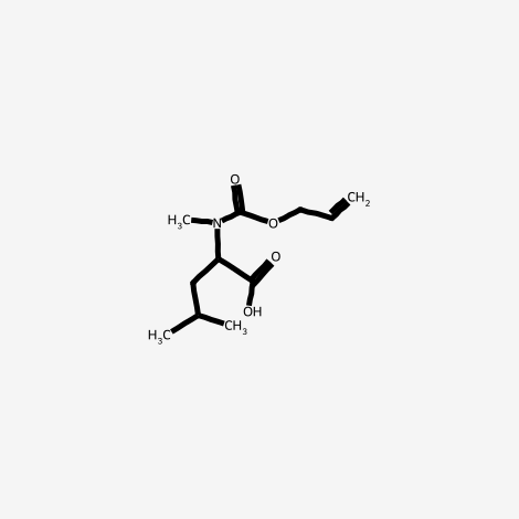 C=CCOC(=O)N(C)C(CC(C)C)C(=O)O